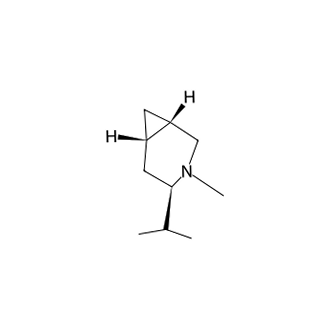 CC(C)[C@H]1C[C@@H]2C[C@@H]2CN1C